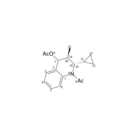 CC(=O)OC1c2ccccc2N(C(C)=O)[C@@H](C2CC2)[C@@H]1C